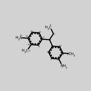 CCC(c1ccc(N)c(C)c1)c1ccc(N)c(C)c1